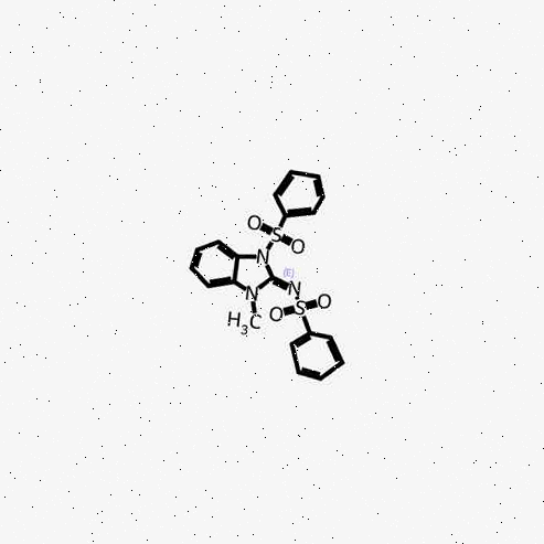 Cn1/c(=N\S(=O)(=O)c2ccccc2)n(S(=O)(=O)c2ccccc2)c2ccccc21